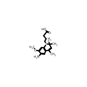 COc1cc2c(cc1N)C(C)=CC(C)(C)N2CCCC(=O)O